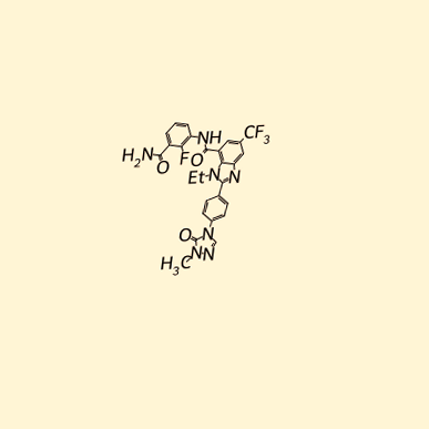 CCn1c(-c2ccc(-n3cnn(C)c3=O)cc2)nc2cc(C(F)(F)F)cc(C(=O)Nc3cccc(C(N)=O)c3F)c21